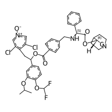 CC(C)Oc1cc(C(Cc2c(Cl)c[n+]([O-])cc2Cl)OC(=O)c2ccc(CN[C@H](C(=O)O[C@H]3CN4CCC3CC4)c3ccccc3)cc2)ccc1OC(F)F